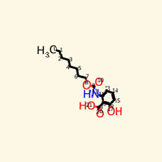 CCCCCCCCOC(=O)Nc1cccc(O)c1C(=O)O